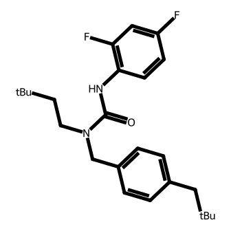 CC(C)(C)CCN(Cc1ccc(CC(C)(C)C)cc1)C(=O)Nc1ccc(F)cc1F